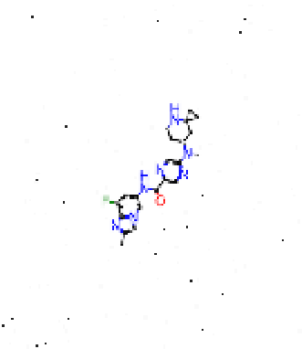 Cc1cn2cc(NC(=O)c3cnc(N(C)C4CCNC5(CC5)C4)cn3)cc(F)c2n1